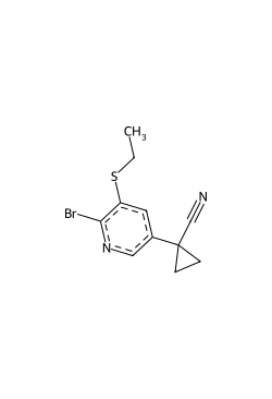 CCSc1cc(C2(C#N)CC2)cnc1Br